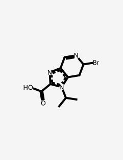 CC(C)n1c(C(=O)O)nc2c1CC(Br)N=C2